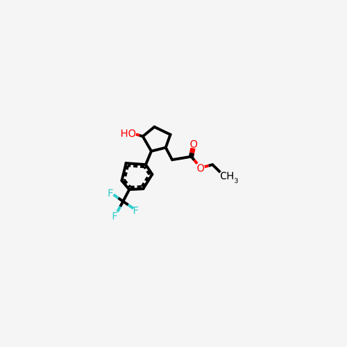 CCOC(=O)CC1CCC(O)C1c1ccc(C(F)(F)F)cc1